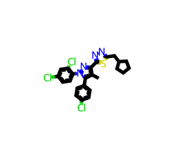 Cc1c(-c2nnc(CC3CCCC3)s2)nn(-c2ccc(Cl)cc2Cl)c1-c1ccc(Cl)cc1